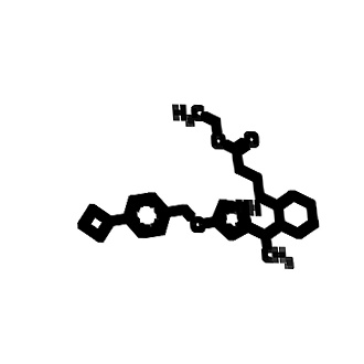 CCOC(=O)CCCC1CCCCC1C(C)c1cc(OCc2ccc(C3CCC3)cc2)c[nH]1